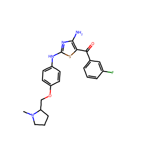 CN1CCCC1COc1ccc(Nc2nc(N)c(C(=O)c3cccc(F)c3)s2)cc1